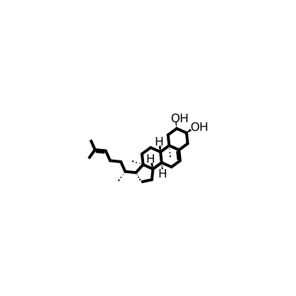 CC(C)=CCC[C@@H](C)[C@H]1CC[C@H]2[C@@H]3CC=C4C[C@H](O)[C@@H](O)C[C@]4(C)[C@H]3CC[C@]12C